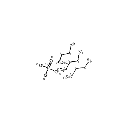 CCCCCCCCCCCC[S+].CCCCCCCCCCCC[S+].CCCCCCCCCCCC[S+].O=P([O-])([O-])[O-]